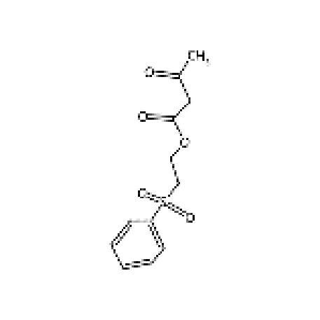 CC(=O)CC(=O)OCCS(=O)(=O)c1ccccc1